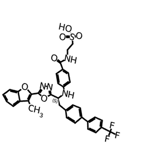 Cc1c(-c2nnc([C@H](Cc3ccc(-c4ccc(C(F)(F)F)cc4)cc3)Nc3ccc(C(=O)NCCS(=O)(=O)O)cc3)o2)oc2ccccc12